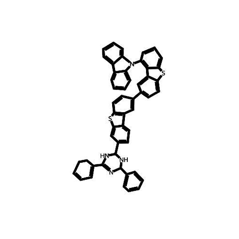 C1=CCCC(C2=NC(c3ccccc3)NC(c3ccc4c(c3)sc3ccc(-c5ccc6sc7cccc(-n8c9ccccc9c9ccccc98)c7c6c5)cc34)N2)=C1